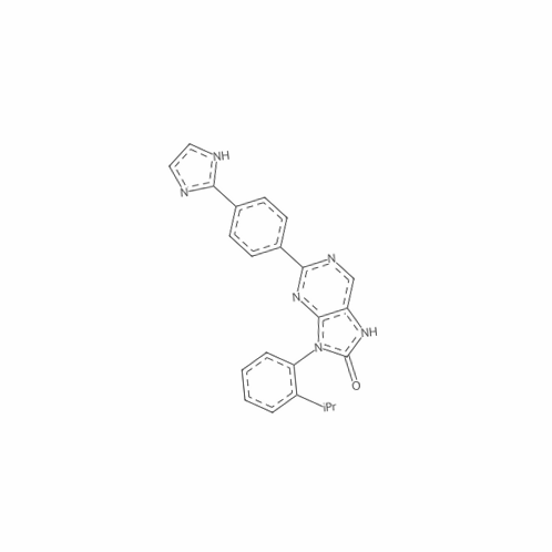 CC(C)c1ccccc1-n1c(=O)[nH]c2cnc(-c3ccc(-c4ncc[nH]4)cc3)nc21